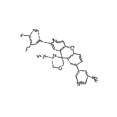 NC1=NC2(COC1)c1cc(-c3cncc(F)c3)ccc1Oc1cnc(-c3ccc(F)c(F)c3)cc12